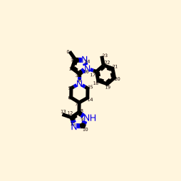 Cc1cc(N2CCC(c3[nH]cnc3C)CC2)n(-c2ccccc2C)n1